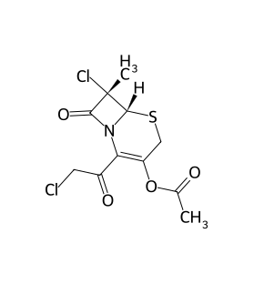 CC(=O)OC1=C(C(=O)CCl)N2C(=O)[C@](C)(Cl)[C@@H]2SC1